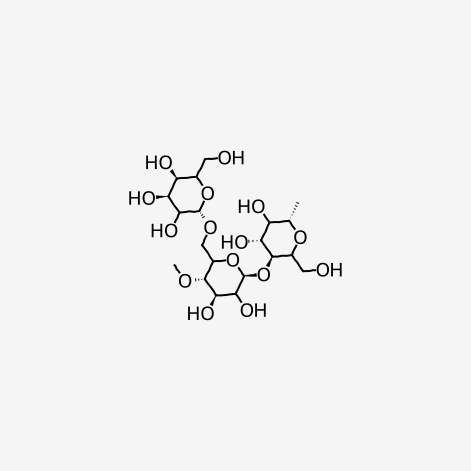 CO[C@@H]1C(CO[C@H]2OC(CO)[C@H](O)[C@H](O)C2O)O[C@@H](O[C@@H]2C(CO)O[C@@H](C)C(O)[C@H]2O)C(O)[C@H]1O